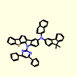 CC1(C)c2ccccc2-c2cc(N(c3ccc4ccccc4c3)c3ccc4c(c3)c3ccc5c6ccccc6sc5c3n4-c3nc(-c4ccccc4)cc(-c4ccccc4)n3)ccc21